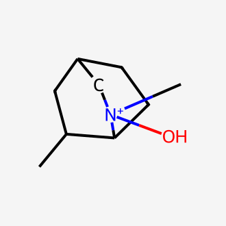 CC1CC2CCC1[N+](C)(O)C2